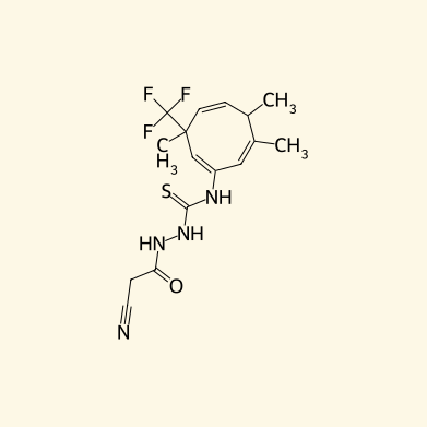 C/C1=C/C(NC(=S)NNC(=O)CC#N)=C\C(C)(C(F)(F)F)/C=C\C1C